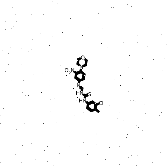 Cc1ccc(NC(=S)NC=Nc2ccc(N3CCOCC3)c([N+](=O)[O-])c2)cc1Cl